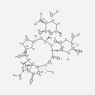 CC[C@H]1OC(=O)[C@H](C)[C@@H](O[C@H]2C[C@@](C)(OC)[C@@H](O)[C@H](C)O2)[C@H](C)[C@@H](O[C@@H]2O[C@H](C)C[C@@H](OC)[C@@H]2N(C)C)[C@@]2(C)C[C@@H](CO2)C(=O)[C@H](C)[C@H]2C(SSC)C(=O)O[C@@]21C